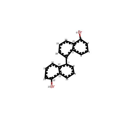 Brc1cccc2c(-c3cccc4c(Br)cccc34)cccc12